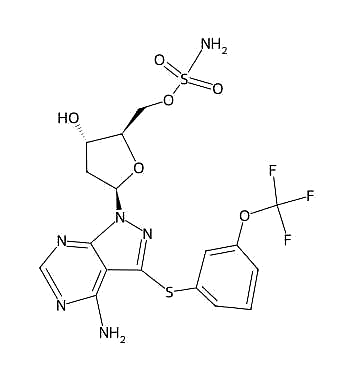 Nc1ncnc2c1c(Sc1cccc(OC(F)(F)F)c1)nn2[C@H]1C[C@H](O)[C@@H](COS(N)(=O)=O)O1